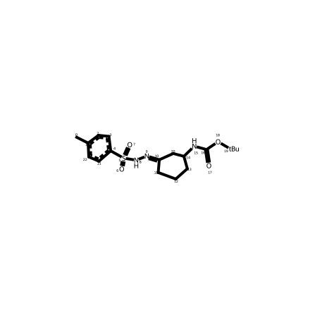 Cc1ccc(S(=O)(=O)N/N=C2\CCCC(NC(=O)OC(C)(C)C)C2)cc1